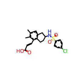 Cc1cc2c(c(C=CC(=O)O)c1C)CCC(NS(=O)(=O)c1ccc(Cl)cc1)C2